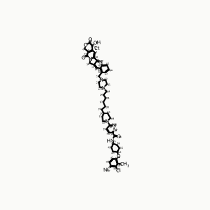 CC[C@@]1(O)C(=O)OCc2c1cc1n(c2=O)Cc2cc3c(CN4CCN(CCCCCCC5CCN(c6ccc(C(=O)NC7CCC(Oc8ccc(C#N)c(Cl)c8C)CC7)nn6)CC5)CC4)cccc3nc2-1